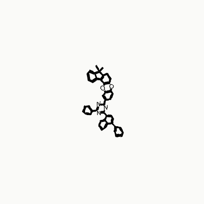 CC1(C)c2ccccc2-c2c1ccc1c2Oc2cc(-c3nc(-c4ccccc4)nc(-c4ccc(-c5ccccc5)c5ccccc45)n3)ccc2O1